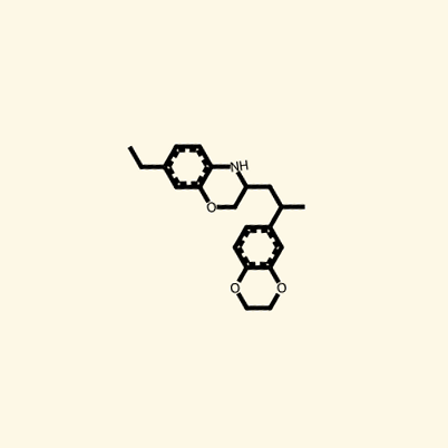 CCc1ccc2c(c1)OCC(CC(C)c1ccc3c(c1)OCCO3)N2